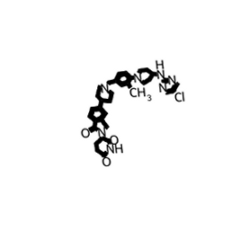 Cc1cc(CN2CCC(c3ccc4c(c3)CN(C3CCC(=O)NC3=O)C4=O)CC2)ccc1N1CCC(Nc2ncc(Cl)cn2)CC1